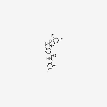 CN1Cc2ccc(C(=O)NCc3ccc(F)cc3F)cc2N(Cc2cc(F)cc(F)c2)C1=O